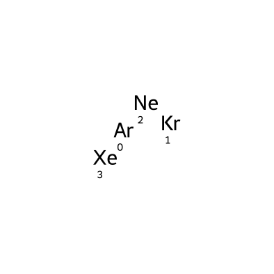 [Ar].[Kr].[Ne].[Xe]